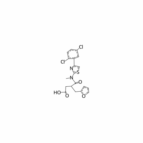 CN(C(=O)C(CC(=O)O)Cc1ccco1)c1nc(-c2cc(Cl)ccc2Cl)cs1